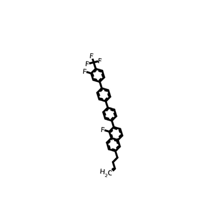 C=CCCc1ccc2c(F)c(-c3ccc(-c4ccc(-c5ccc(C(F)(F)F)c(F)c5)cc4)cc3)ccc2c1